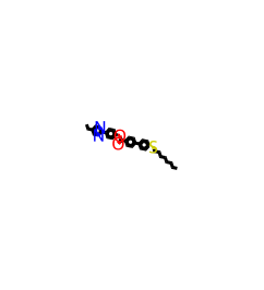 CCCCCCCCSc1ccc(-c2ccc(C(=O)Oc3ccc(-c4ncc(CC)cn4)cc3)cc2)cc1